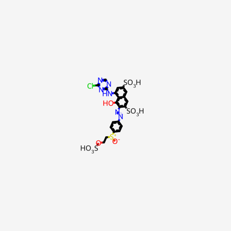 O=S(=O)(O)OCC[S+]([O-])c1ccc(/N=N/c2c(S(=O)(=O)O)cc3cc(S(=O)(=O)O)cc(Nc4ncnc(Cl)n4)c3c2O)cc1